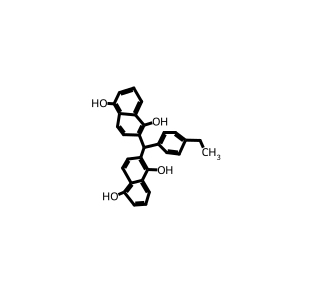 CCc1ccc(C(c2ccc3c(O)cccc3c2O)c2ccc3c(O)cccc3c2O)cc1